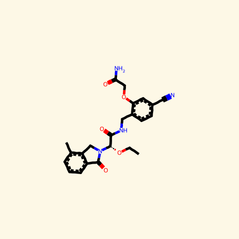 CCO[C@@H](C(=O)NCc1ccc(C#N)cc1OCC(N)=O)N1Cc2c(C)cccc2C1=O